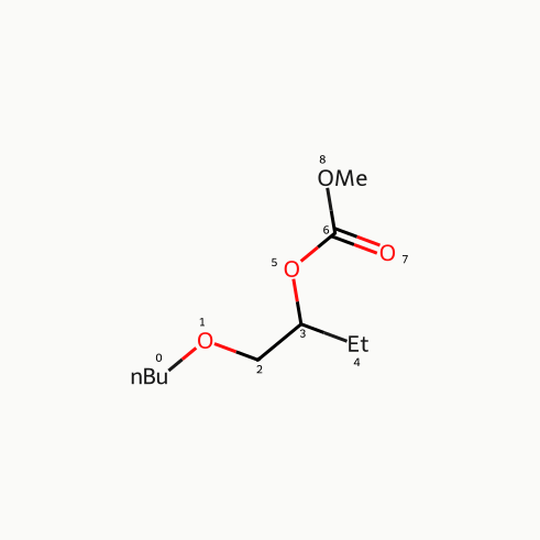 CCCCOCC(CC)OC(=O)OC